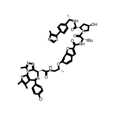 Cc1ncsc1-c1ccc([C@H](C)NC(=O)[C@@H]2C[C@@H](O)CN2C(=O)[C@@H](NC(=O)c2cc3ccc(O[C@H](C)CNC(=O)C[C@@H]4N=C(c5ccc(Cl)cc5)c5c(sc(C)c5C)-n5c(C)nnc54)cc3o2)C(C)(C)C)cc1